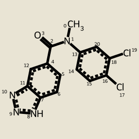 CN(C(=O)c1ccc2[nH]nnc2c1)c1ccc(Cl)c(Cl)c1